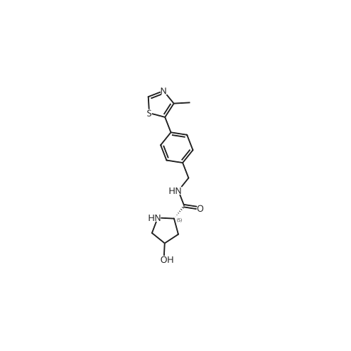 Cc1ncsc1-c1ccc(CNC(=O)[C@@H]2CC(O)CN2)cc1